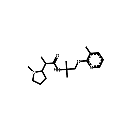 Cc1cccnc1OCC(C)(C)NC(=O)C(C)C1CCCN1C